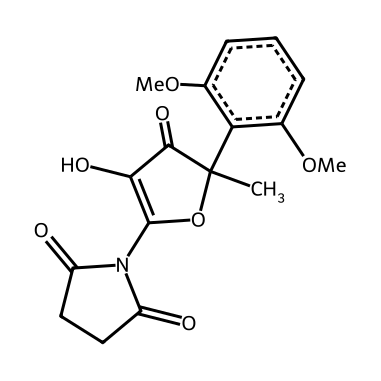 COc1cccc(OC)c1C1(C)OC(N2C(=O)CCC2=O)=C(O)C1=O